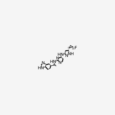 C[C@H](Nc1nccc(Nc2cc([C@@H]3C[C@@H]3F)[nH]n2)n1)c1ccc2[nH]cnc2c1